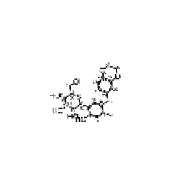 Cc1cc(O)c([C@@H]2S[C@H](CO)[C@@H](O)[C@H](O)[C@H]2O)cc1Cc1ccc2c(c1)OCCO2